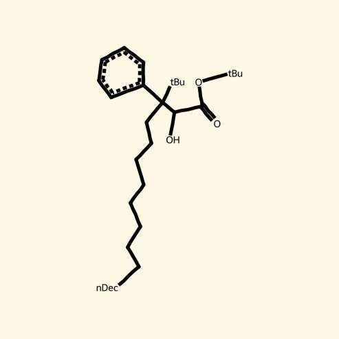 CCCCCCCCCCCCCCCCCCC(c1ccccc1)(C(O)C(=O)OC(C)(C)C)C(C)(C)C